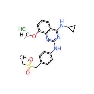 CCS(=O)(=O)Cc1ccc(Nc2nc(NC3CC3)c3cccc(OC)c3n2)cc1.Cl